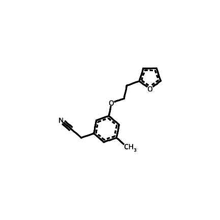 Cc1cc(CC#N)cc(OCCc2ccco2)c1